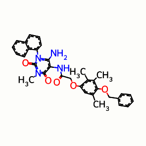 Cc1cc(OCC(=O)Nc2c(N)n(-c3cccc4ccccc34)c(=O)n(C)c2=O)c(C)c(C)c1OCc1ccccc1